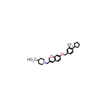 O=C(O)C1CCN(CC2=Cc3ccc(OCc4ccc(C5CCCC5)c(C(F)(F)F)c4)cc3OC2)CC1